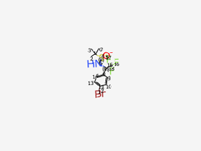 CC(C)(C)[S@+]([O-])N[C@H](c1ccc(Br)cc1)C(F)(F)F